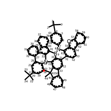 CC(C)(C)c1ccc(N2B3c4c(cc5c(c4N(c4ccc(C(C)(C)C)cc4-c4ccccc4)c4oc6ccccc6c43)C(C)(C)c3ccccc3-5)-c3ccc4c(oc5ccccc54)c32)cc1